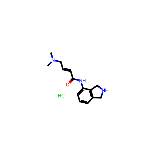 CN(C)C/C=C/C(=O)Nc1cccc2c1CNC2.Cl